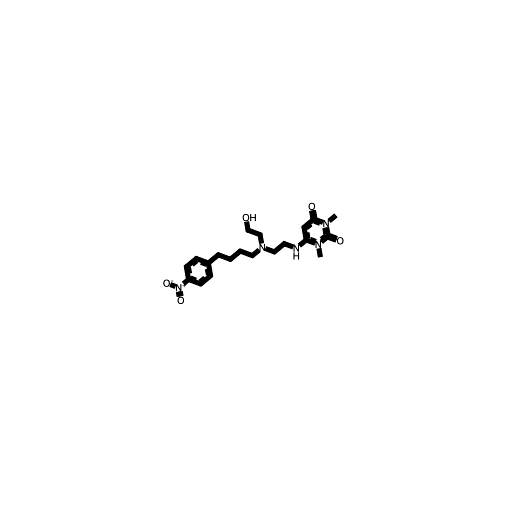 Cn1c(NCCN(CCO)CCCCc2ccc([N+](=O)[O-])cc2)cc(=O)n(C)c1=O